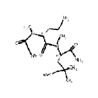 CCCC(=O)N(C)[C@H](CCN)C(=O)N(C)[C@@H](CC(C)(C)OC)C(N)=O